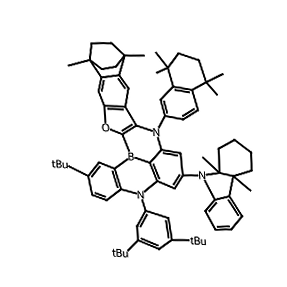 CC(C)(C)c1cc(N2c3ccc(C(C)(C)C)cc3B3c4oc5cc6c(cc5c4N(c4ccc5c(c4)C(C)(C)CCC5(C)C)c4cc(N5c7ccccc7C7(C)CCCCC57C)cc2c43)C2(C)CCC6(C)CC2)cc(C(C)(C)C)c1